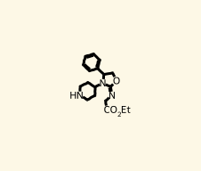 CCOC(=O)CN=C1OCC(c2ccccc2)N1C1CCNCC1